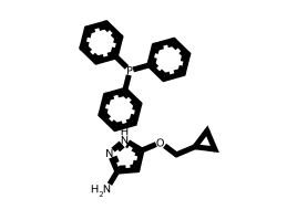 Nc1cc(OCC2CC2)[nH]n1.c1ccc(P(c2ccccc2)c2ccccc2)cc1